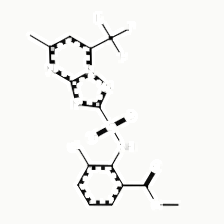 COC(=O)c1cccc(Cl)c1NS(=O)(=O)c1nc2nc(C)cc(C(F)(F)F)n2n1